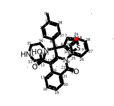 Cc1ccc(C(c2cnsn2)(c2c(C(=O)O)c3ccccc3c(=O)n2-c2ccccc2)N2CCNCC2)cc1